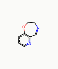 C1=NCCOc2cccnc21